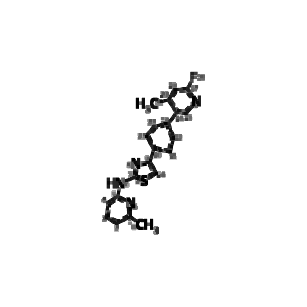 Cc1cccc(Nc2nc(-c3ccc(-c4cnc(F)cc4C)cc3)cs2)n1